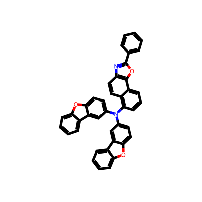 c1ccc(-c2nc3ccc4c(N(c5ccc6oc7ccccc7c6c5)c5ccc6oc7ccccc7c6c5)cccc4c3o2)cc1